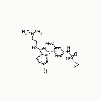 COc1cc(NS(=O)(=O)C2CC2)cnc1-n1nc(NCCN(C)C)c2cnc(Cl)cc21